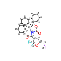 O=C1OC(c2ccccc2)(c2ccccc2)C(c2ccccc2)N1C(=O)C1CC(CI)OC1(F)F